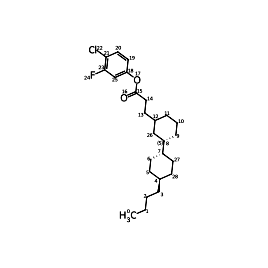 CCCC[C@H]1CC[C@H]([C@H]2CCCC(CCC(=O)Oc3ccc(Cl)c(F)c3)C2)CC1